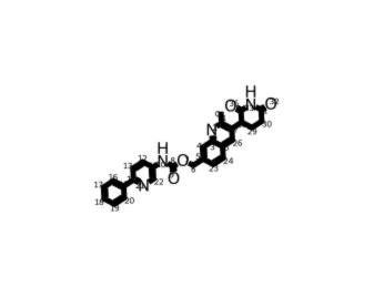 Cc1nc2cc(COC(=O)Nc3ccc(-c4ccccc4)nc3)ccc2cc1C1CCC(=O)NC1=O